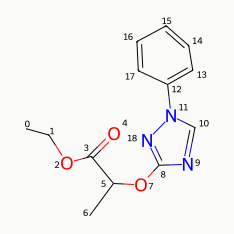 CCOC(=O)C(C)Oc1ncn(-c2ccccc2)n1